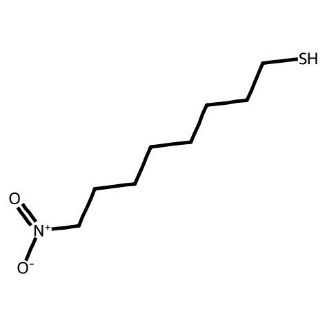 O=[N+]([O-])CCCCCCCCS